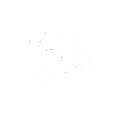 C#Cc1ccnc2[nH]cc(-c3ccnc(N)n3)c12.C1CC2CCC12